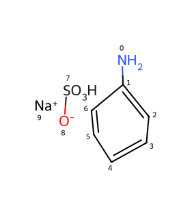 Nc1ccccc1.O=S(=O)([O-])O.[Na+]